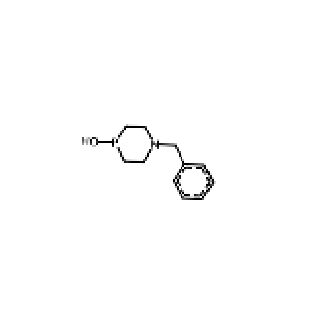 OP1CCN(Cc2ccccc2)CC1